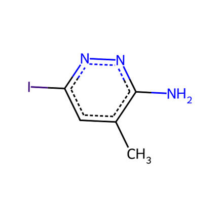 Cc1cc(I)nnc1N